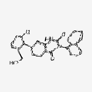 O=c1[nH]c2cc(-c3c(Cl)cccc3CO)ccc2c(=O)n1-c1cccc2ccccc12